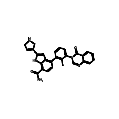 Cc1c(-c2ccc(C(N)=O)c3[nH]c(C4=CCNC4)cc23)cccc1-n1cnc2ccccc2c1=O